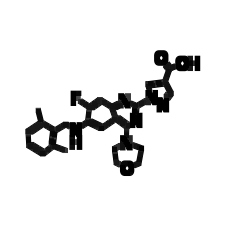 Cc1cccc(C)c1CNc1cc2c(N3CCOCC3)nc(-n3cc(C(=O)O)cn3)nc2cc1F